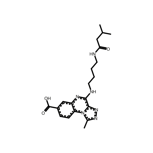 Cc1nnc2c(NCCCCNC(=O)CC(C)C)nc3cc(C(=O)O)ccc3n12